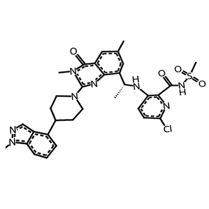 Cc1cc([C@@H](C)Nc2ccc(Cl)nc2C(=O)NS(C)(=O)=O)c2nc(N3CCC(c4cccc5c4cnn5C)CC3)n(C)c(=O)c2c1